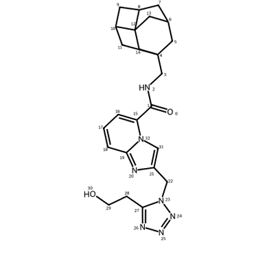 O=C(NCC12CC3CC4CC(C1)C4(C3)C2)c1cccc2nc(Cn3nnnc3CCO)cn12